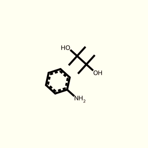 CC(C)(O)C(C)(C)O.Nc1ccccc1